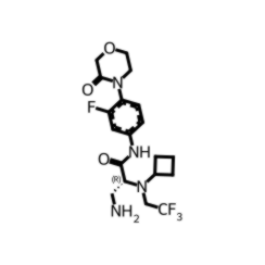 NC[C@H](C(=O)Nc1ccc(N2CCOCC2=O)c(F)c1)N(CC(F)(F)F)C1CCC1